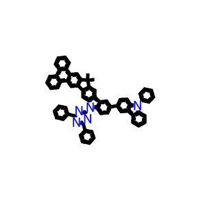 CC1(C)c2cc3c4ccccc4c4ccccc4c3cc2-c2cc3c(cc21)c1cc(-c2ccc4c(c2)c2ccccc2n4-c2ccccc2)ccc1n3-c1nc(-c2ccccc2)nc(-c2ccccc2)n1